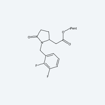 CCCC(C)OC(=O)CC1CCC(=O)N1Cc1cccc(F)c1F